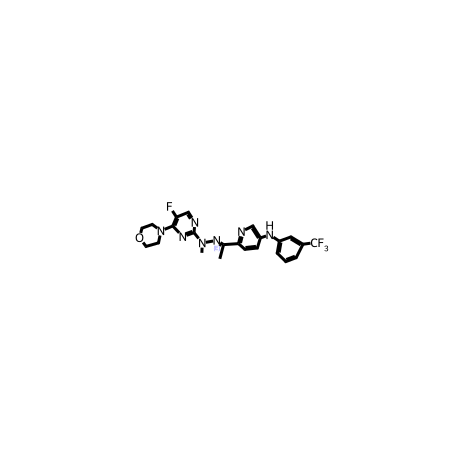 C/C(=N\N(C)c1ncc(F)c(N2CCOCC2)n1)c1ccc(Nc2cccc(C(F)(F)F)c2)cn1